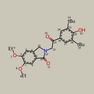 CCOc1cc2c(cc1OCC)C(=O)N(CC(=O)c1cc(C(C)(C)C)c(O)c(C(C)(C)C)c1)C2